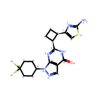 Nc1nc([C@@H]2CC[C@@H]2c2nc3c(cnn3C3CCC(F)(F)CC3)c(=O)[nH]2)cs1